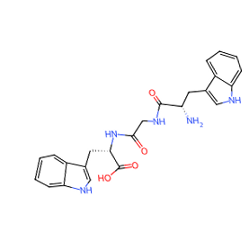 N[C@@H](Cc1c[nH]c2ccccc12)C(=O)NCC(=O)N[C@@H](Cc1c[nH]c2ccccc12)C(=O)O